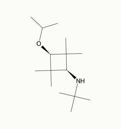 CC(C)O[C@H]1C(C)(C)[C@@H](NC(C)(C)C)C1(C)C